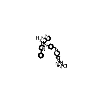 Nc1ncccc1-c1nc2ccc(-c3ccccc3)nc2n1-c1ccc(CN2CCC3(CC2)CN(c2ncnc(Cl)n2)C3)cc1